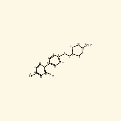 CCCC1CCC(CCc2ccc(-c3ccc(CC)cc3F)cc2)CC1